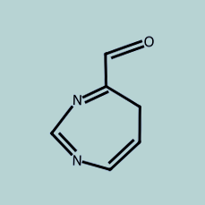 O=CC1=NC=NC=CC1